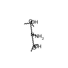 CCCCCCC(CCCC)(CCCCCCCCCN(CCCN)CCCCCCCCCC(CCCC)(CCCCCC)C(=O)O)C(=O)O